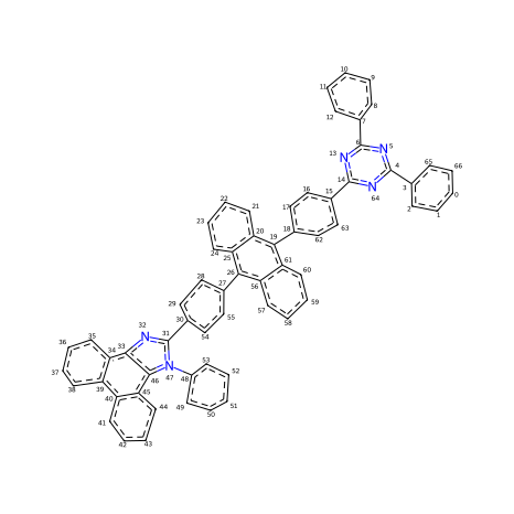 c1ccc(-c2nc(-c3ccccc3)nc(-c3ccc(-c4c5ccccc5c(-c5ccc(-c6nc7c8ccccc8c8ccccc8c7n6-c6ccccc6)cc5)c5ccccc45)cc3)n2)cc1